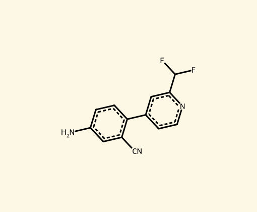 N#Cc1cc(N)ccc1-c1ccnc(C(F)F)c1